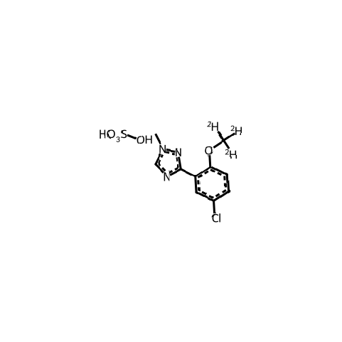 O=S(=O)(O)O.[2H]C([2H])([2H])Oc1ccc(Cl)cc1-c1ncn(C)n1